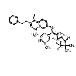 C[C@@H]1[C@@H](/N=C(/Nc2ccc3c(=O)n(CCc4ccccc4)cnc3c2)N2C[C@@H](C)N[C@@H](C)C2)C[C@@H]2C[C@H]1C2(C)C